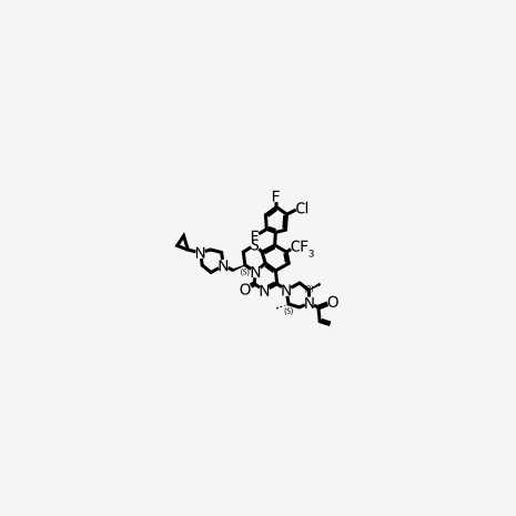 C=CC(=O)N1C[C@H](C)N(c2nc(=O)n3c4c(c(-c5cc(Cl)c(F)cc5F)c(C(F)(F)F)cc24)SC[C@@H]3CN2CCN(C3CC3)CC2)C[C@H]1C